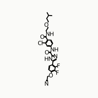 CC(C)CCOCCNC(=O)c1ccc(NC(=O)c2ncc(-c3ccc(OCC#N)c(F)c3F)[nH]2)cc1Cl